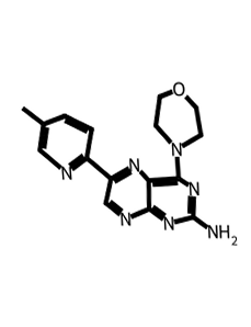 Cc1ccc(-c2cnc3nc(N)nc(N4CCOCC4)c3n2)nc1